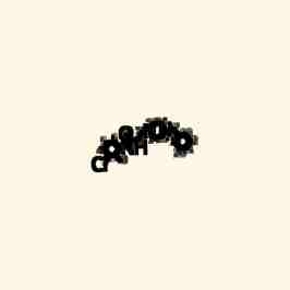 Cc1c(Cl)cccc1NC(=O)CCN1CCN(Cc2ccccc2)CC1